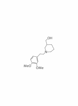 COc1ccc(CCN2CCCC(CO)C2)cc1OC